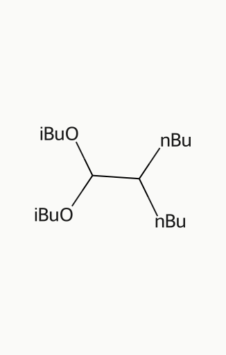 CCCCC(CCCC)C(OCC(C)C)OCC(C)C